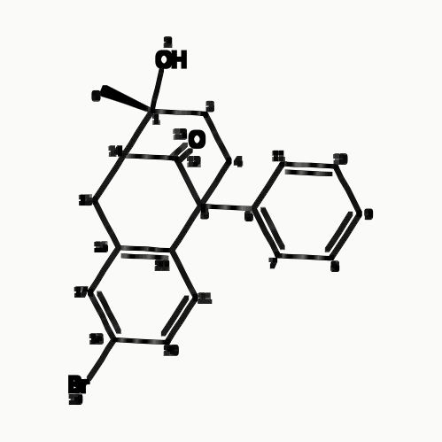 C[C@@]1(O)CCC2(c3ccccc3)C(=O)C1Cc1cc(Br)ccc12